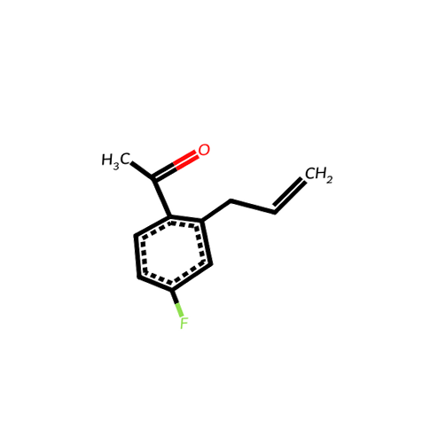 C=CCc1cc(F)ccc1C(C)=O